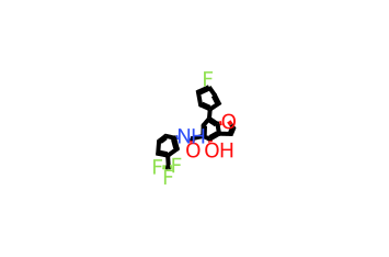 O=C(Nc1cccc(C(F)(F)F)c1)c1cc(-c2ccc(F)cc2)c2occc2c1O